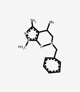 CC(C)(C)C1CN(Cc2ccccc2)Oc2c1c(N)nn2C(=O)O